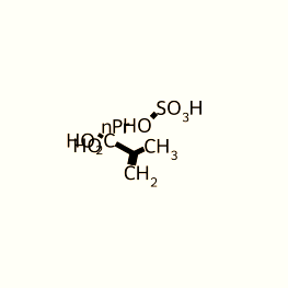 C=C(C)C(=O)O.CCCO.O=S(=O)(O)O